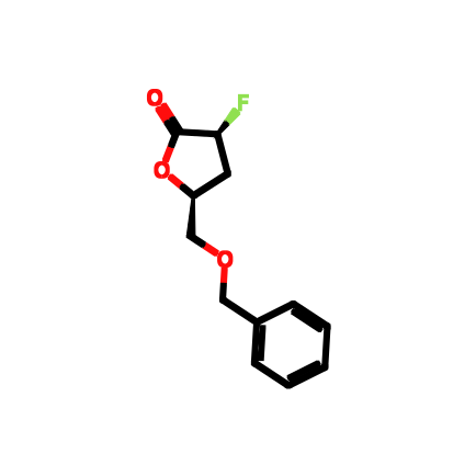 O=C1O[C@H](COCc2ccccc2)C[C@@H]1F